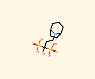 O=P(O)(O)C(O)(CCN1C2CCCC1CC2)P(=O)(O)O